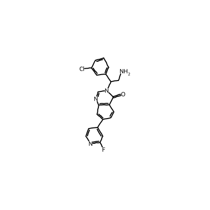 NCC(c1cccc(Cl)c1)n1cnc2cc(-c3ccnc(F)c3)ccc2c1=O